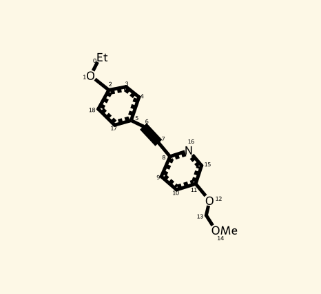 CCOc1ccc(C#Cc2ccc(OCOC)cn2)cc1